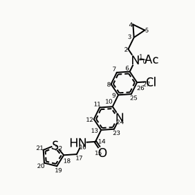 CC(=O)N(CC1CC1)c1ccc(-c2ccc(C(=O)NCc3cccs3)cn2)cc1Cl